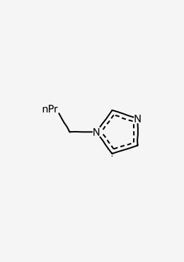 CCCCn1[c]cnc1